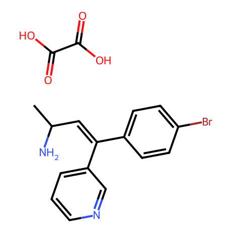 CC(N)C=C(c1ccc(Br)cc1)c1cccnc1.O=C(O)C(=O)O